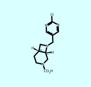 O=C(O)N1CC[C@@H]2CN(Cc3cnc(Cl)nc3)[C@@H]2C1